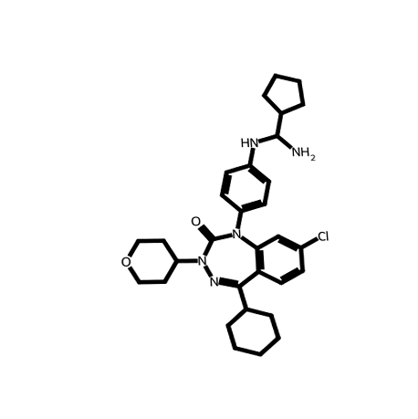 NC(Nc1ccc(N2C(=O)N(C3CCOCC3)N=C(C3CCCCC3)c3ccc(Cl)cc32)cc1)C1CCCC1